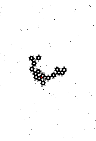 c1ccc(-n2c3ccccc3c3cc(-c4cccc(-c5cc6ccc7cc(-c8ccccc8-n8c9ccccc9c9cc(-c%10ccc(-c%11cc%12ccc%13ccccc%13c%12c%12ccccc%11%12)cc%10)ccc98)ccc7c6c6ccccc56)c4)ccc32)cc1